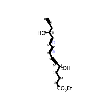 C#CC[C@H](O)/C=C/C=C/C#C[C@@H](O)CCCC(=O)OCC